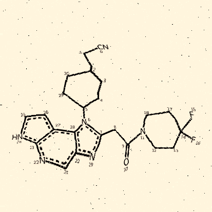 N#CCC1CCC(n2c(CC(=O)N3CCC(F)(F)CC3)nc3cnc4[nH]ccc4c32)CC1